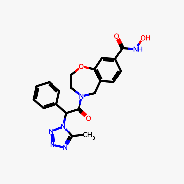 Cc1nnnn1C(C(=O)N1CCOc2cc(C(=O)NO)ccc2C1)c1ccccc1